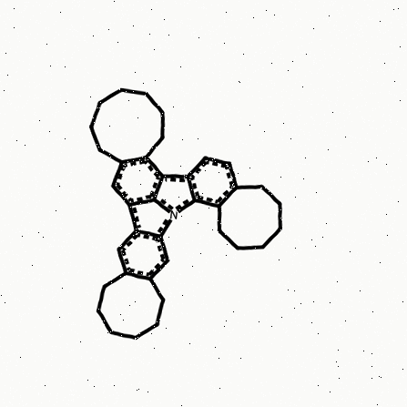 c1cc2c3c4c(cc5c6cc7c(cc6n(c2c2c1CCCCCC2)c53)CCCCCC7)CCCCCCC4